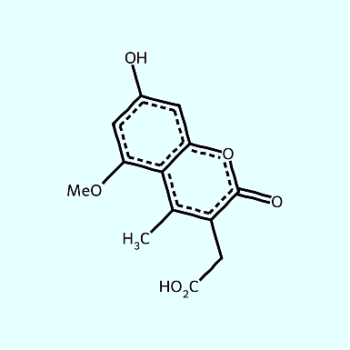 COc1cc(O)cc2oc(=O)c(CC(=O)O)c(C)c12